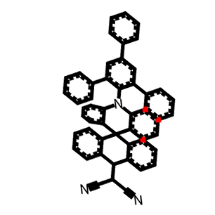 N#CC(C#N)C1c2ccccc2C2(c3ccccc31)c1ccccc1N(c1c(-c3ccccc3)cc(-c3ccccc3)cc1-c1ccccc1)c1ccccc12